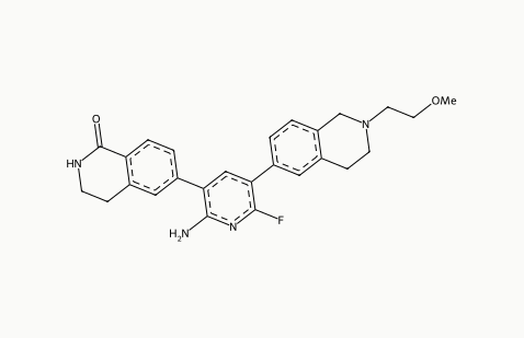 COCCN1CCc2cc(-c3cc(-c4ccc5c(c4)CCNC5=O)c(N)nc3F)ccc2C1